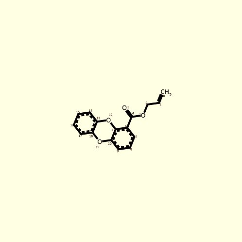 C=CCOC(=O)c1cccc2c1Oc1ccccc1O2